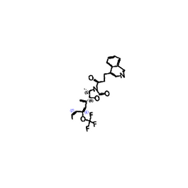 C=C(/C=C(\C=C/C)OC(F)(F)F)[C@H]1OC(=O)N(C(=O)CCc2cncc3ccccc23)[C@H]1C